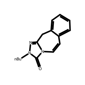 CCCCn1nc2n(c1=O)C=Cc1ccccc1C2